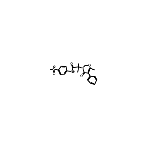 CC1=C(c2ccccc2)C(=O)N(C(C)(C)C(=O)Nc2ccc(S(C)(=O)=O)cc2)CO1